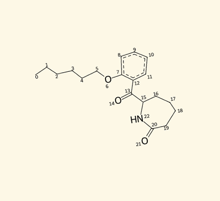 CCCCCCOc1ccccc1C(=O)C1CCCCC(=O)N1